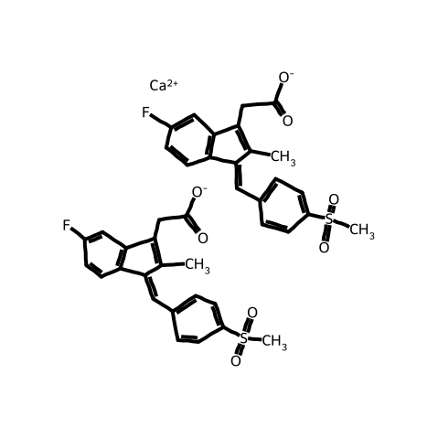 CC1=C(CC(=O)[O-])c2cc(F)ccc2C1=Cc1ccc(S(C)(=O)=O)cc1.CC1=C(CC(=O)[O-])c2cc(F)ccc2C1=Cc1ccc(S(C)(=O)=O)cc1.[Ca+2]